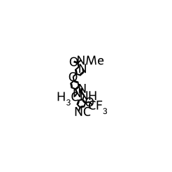 [C-]#[N+]c1ccc(Nc2nc3cc(Oc4ccnc(C(=O)NC)c4)ccc3n2C)c(OC(F)(F)F)c1